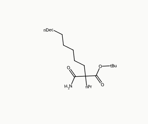 CCCCCCCCCCCCCCCC(CCC)(C(N)=O)C(=O)OC(C)(C)C